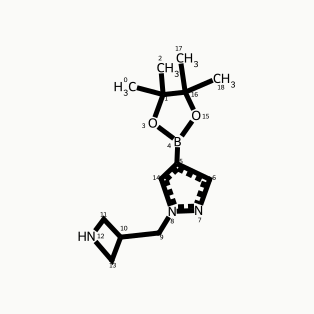 CC1(C)OB(c2cnn(CC3CNC3)c2)OC1(C)C